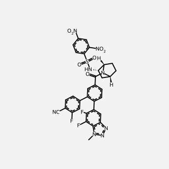 Cn1nnc2cc(-c3ccc(C(=O)N4[C@@H]5CC[C@H]4[C@@H](NS(=O)(=O)c4ccc([N+](=O)[O-])cc4[N+](=O)[O-])C5)cc3-c3ccc(C#N)c(F)c3)c(F)c(F)c21